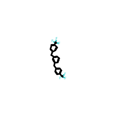 FC(F)(F)c1ccc(Cc2cccc(Cc3ccc(C(F)(F)F)cc3)c2)cc1